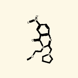 COCCn1c(CN2CCCC2)nc2ccc([N+](=O)[O-])cc2c1=O